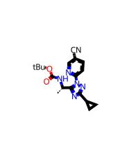 C[C@H](NC(=O)OC(C)(C)C)c1nc(C2CC2)nn1-c1ccc(C#N)cn1